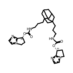 O=C(NCCCC12CC3CC(C1)CC(CCCNC(=O)O[C@@H]1CCn4ccnc41)(C3)C2)O[C@@H]1CCn2ccnc21